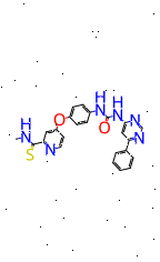 CNC(=S)c1cc(Oc2ccc(NC(=O)Nc3cc(-c4ccccc4)ncn3)cc2)ccn1